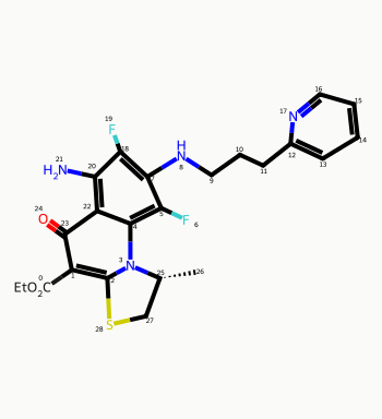 CCOC(=O)c1c2n(c3c(F)c(NCCCc4ccccn4)c(F)c(N)c3c1=O)[C@H](C)CS2